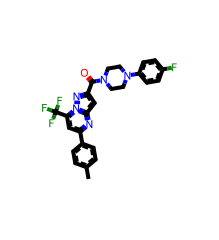 Cc1ccc(-c2cc(C(F)(F)F)n3nc(C(=O)N4CCN(c5ccc(F)cc5)CC4)cc3n2)cc1